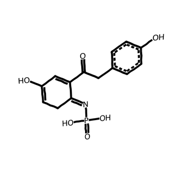 O=C(Cc1ccc(O)cc1)C1=CC(O)=CCC1=NP(=O)(O)O